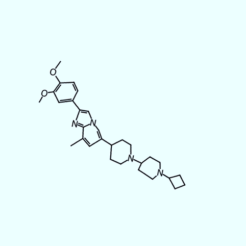 COc1ccc(-c2cn3cc(C4CCN(C5CCN(C6CCC6)CC5)CC4)cc(C)c3n2)cc1OC